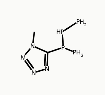 Cn1nnnc1P(P)PP